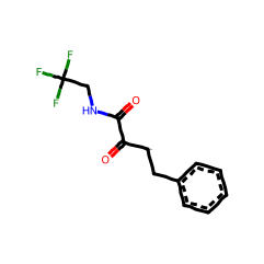 O=C([CH]Cc1ccccc1)C(=O)NCC(F)(F)F